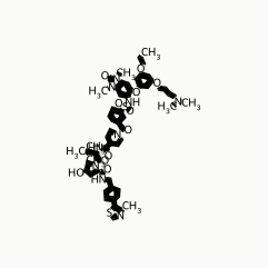 CCCOc1cc(OCCCCN(C)C)cc(Oc2cc3c(cc2NS(=O)(=O)c2cccc(C(=O)N4CCC(C(=O)N[C@H](C(=O)N5C[C@H](O)C[C@H]5C(=O)NCc5ccc(-c6scnc6C)cc5)C(C)(C)C)CC4)c2)n(C)c(=O)n3C)c1